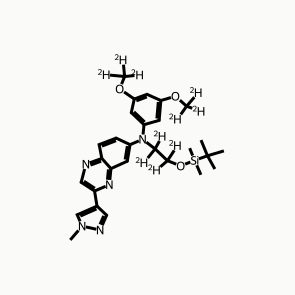 [2H]C([2H])([2H])Oc1cc(OC([2H])([2H])[2H])cc(N(c2ccc3ncc(-c4cnn(C)c4)nc3c2)C([2H])([2H])C([2H])([2H])O[Si](C)(C)C(C)(C)C)c1